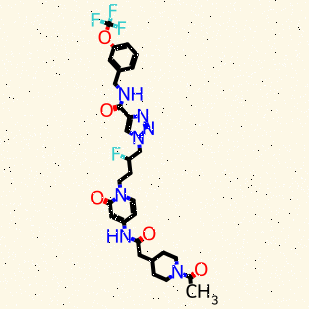 CC(=O)N1CCC(CC(=O)Nc2ccn(CCC(F)Cn3cc(C(=O)NCc4cccc(OC(F)(F)F)c4)nn3)c(=O)c2)CC1